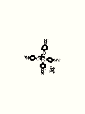 F[B-](F)(F)F.[N-]=[N+]=C1C=CC(OCC(COC2C=CC(=[N+]=[N-])C=C2)(COC2C=CC(=[N+]=[N-])C=C2)COC2C=CC(=[N+]=[N-])C=C2)C=C1